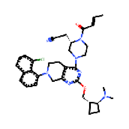 C/C=C/C(=O)N1CCN(c2nc(OC[C@H]3CC[C@@H]3N(C)C)nc3c2CCN(c2cccc4cccc(Cl)c24)C3)C[C@@H]1CC#N